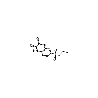 CCCS(=O)(=O)c1ccc2[nH]c(=O)c(=O)[nH]c2c1